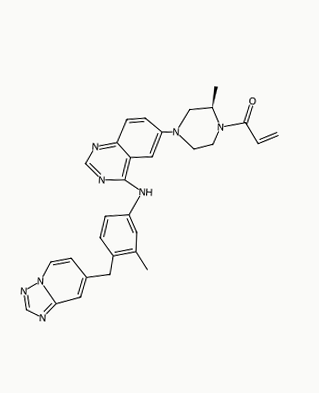 C=CC(=O)N1CCN(c2ccc3ncnc(Nc4ccc(Cc5ccn6ncnc6c5)c(C)c4)c3c2)C[C@H]1C